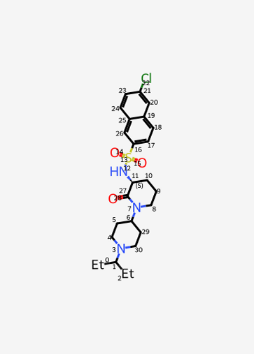 CCC(CC)N1CCC(N2CCC[C@H](NS(=O)(=O)c3ccc4cc(Cl)ccc4c3)C2=O)CC1